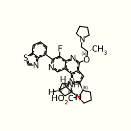 C[C@@H](CN1CCCC1)Oc1nc2c(F)c(-c3cccc4scnc34)ncc2c2c1cc([C@H]1CCCN1C(=O)O)n2[C@H]1[C@H]2CN[C@@H]1C2